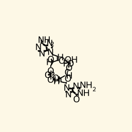 Nc1nc2c(ncn2[C@H]2C[C@@H]3OP(=O)(O)OC[C@H]4O[C@@H](n5cnc6c(N)ncnc65)C[C@@H]4OP(=O)(O)OC[C@H]3O2)c(=O)[nH]1